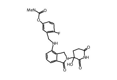 CNC(=O)Oc1ccc(F)c(CNc2cccc3c2CN(C2(O)CCC(=O)NC2=O)C3=O)c1